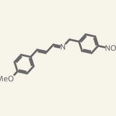 COc1ccc(/C=C/C=N/Cc2ccc([N+](=O)[O-])cc2)cc1